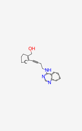 OCC1=C(C#CCCNc2ncnc3ccccc23)CCCC1